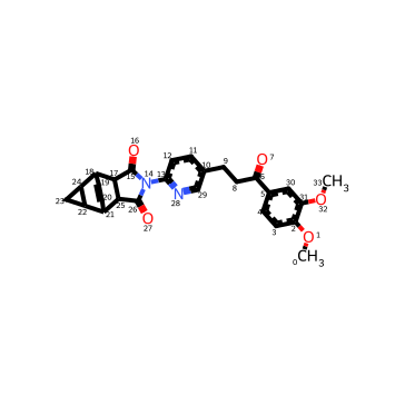 COc1ccc(C(=O)CCc2ccc(N3C(=O)C4C5C=CC(C6CC56)C4C3=O)nc2)cc1OC